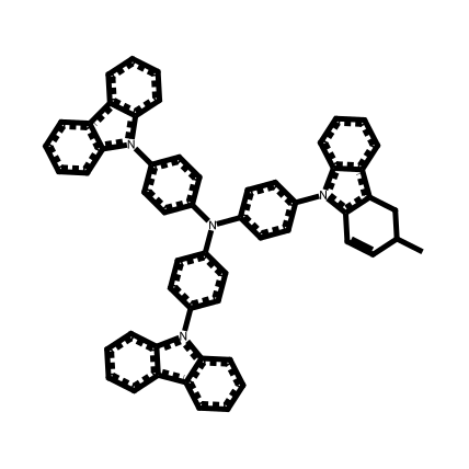 CC1C=Cc2c(c3ccccc3n2-c2ccc(N(c3ccc(-n4c5ccccc5c5ccccc54)cc3)c3ccc(-n4c5ccccc5c5ccccc54)cc3)cc2)C1